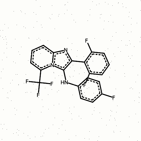 Fc1ccc(Nc2c(-c3c(F)cccc3F)nc3cccc(C(F)(F)F)n23)cc1